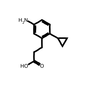 Nc1ccc(C2CC2)c(CCC(=O)O)c1